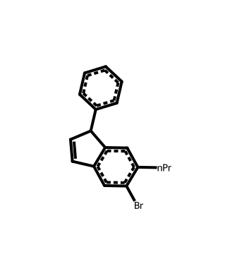 CCCc1cc2c(cc1Br)C=CC2c1ccccc1